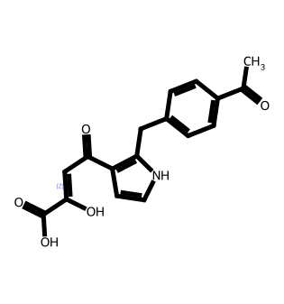 CC(=O)c1ccc(Cc2[nH]ccc2C(=O)/C=C(\O)C(=O)O)cc1